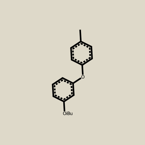 Cc1ccc(Oc2cccc(OCC(C)C)c2)cc1